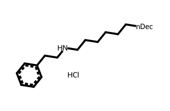 CCCCCCCCCCCCCCCCNCCc1ccccc1.Cl